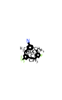 CC(C)(C)c1cc(F)cc(CC(C)(C)c2cc(CC(C)(C)c3cccc(C#N)c3)cc(C(F)(F)F)c2)c1